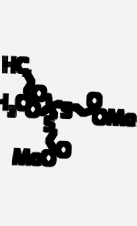 C#CCCC1(C)OCC(CSCCC(=O)OC)(CSCCC(=O)OC)CO1